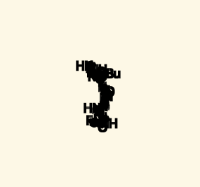 Cc1[nH]nc(Nc2ncnc3cc(OCCCN4CCN(C(=O)c5cnc(N6CCN(C[C@H]7CN[C@H](C)CN7CC(=O)N7CC(C)(C)c8[nH]c(=O)c(Cc9ccc(F)cc9)cc87)[C@H](C)C6)cn5)CC4)c(S(=O)(=O)C(C)(C)C)cc23)c1C